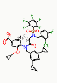 C[C@@H](C(=O)N(Cc1cc(C2CC2)cc(C2CC2)c1)c1ccc(C(=O)O)cc1OC1CC1)N(Cc1ccc(F)cc1Cl)S(=O)(=O)c1c(F)c(F)c(F)c(F)c1F